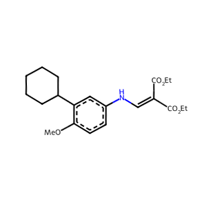 CCOC(=O)C(=CNc1ccc(OC)c(C2CCCCC2)c1)C(=O)OCC